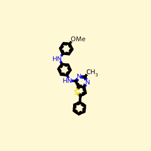 COc1ccc(Nc2ccc(Nc3nc(C)nc4cc(-c5ccccc5)sc34)cc2)cc1